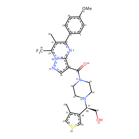 COc1ccc(-c2nc3c(C(=O)N4CCN([C@@H](CO)c5cscc5C)CC4)cnn3c(C(F)(F)F)c2C)cc1